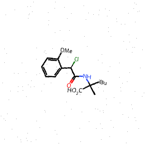 CCC(C)C(C)(NC(=O)C(Cl)c1ccccc1OC)C(=O)O